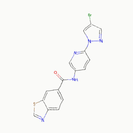 O=C(Nc1ccc(-n2cc(Br)cn2)nc1)c1ccc2ncsc2c1